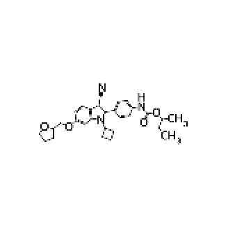 CCC(C)OC(=O)Nc1ccc(C2C(C#N)c3ccc(OCC4CCCO4)cc3N2C2CCC2)cc1